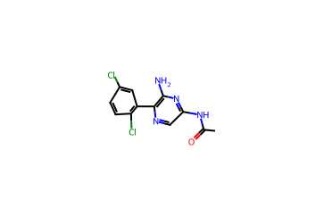 CC(=O)Nc1cnc(-c2cc(Cl)ccc2Cl)c(N)n1